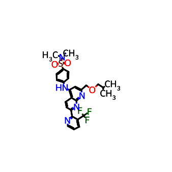 CC(C)COCc1cc(Nc2ccc(S(=O)(=O)N(C)C)cc2)c2ccc(-c3ncccc3C(F)(F)F)nc2n1